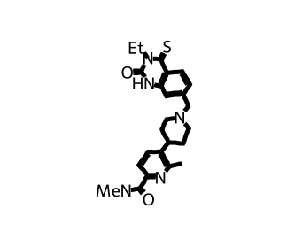 CCn1c(=O)[nH]c2cc(CN3CCC(c4ccc(C(=O)NC)nc4C)CC3)ccc2c1=S